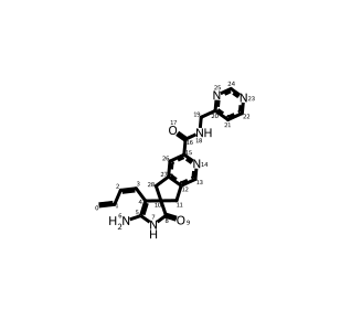 C=C/C=C\C1=C(N)NC(=O)C12Cc1cnc(C(=O)NCc3ccncn3)cc1C2